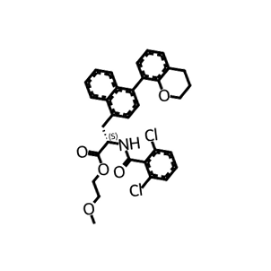 COCCOC(=O)[C@H](Cc1ccc(-c2cccc3c2OCCC3)c2ccccc12)NC(=O)c1c(Cl)cccc1Cl